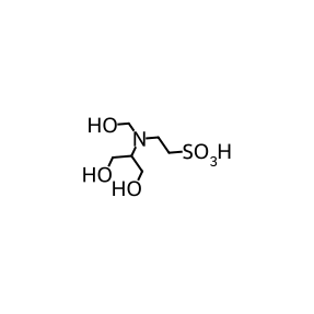 O=S(=O)(O)CCN(CO)C(CO)CO